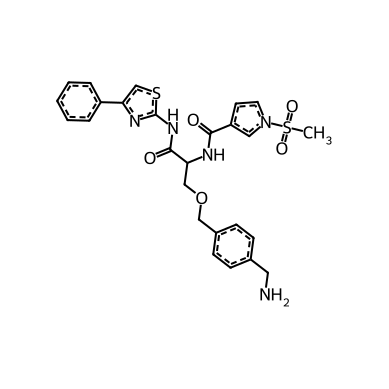 CS(=O)(=O)n1ccc(C(=O)NC(COCc2ccc(CN)cc2)C(=O)Nc2nc(-c3ccccc3)cs2)c1